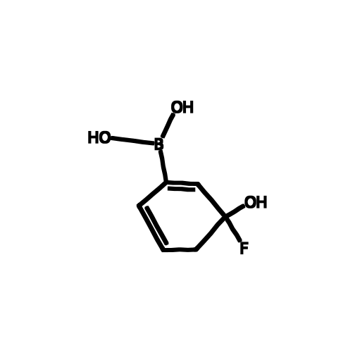 OB(O)C1=CC(O)(F)CC=C1